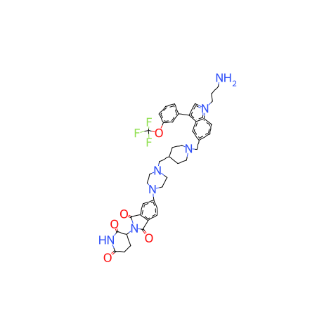 NCCCn1cc(-c2cccc(OC(F)(F)F)c2)c2cc(CN3CCC(CN4CCN(c5ccc6c(c5)C(=O)N(C5CCC(=O)NC5=O)C6=O)CC4)CC3)ccc21